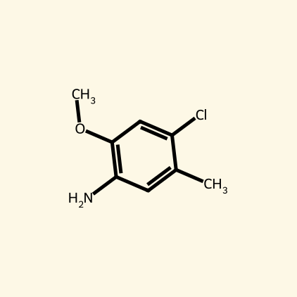 COc1cc(Cl)c(C)cc1N